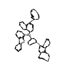 c1ccc(-c2ccc(N(c3ccc(-c4cc5ccccc5c5ccccc45)cc3)c3cccc4c3sc3ccccc34)c3ccccc23)cc1